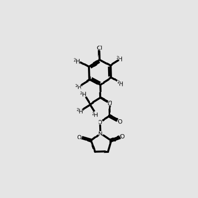 [2H]c1c([2H])c(C(OC(=O)ON2C(=O)CCC2=O)C([2H])([2H])[2H])c([2H])c([2H])c1Cl